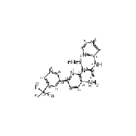 C=C(Nc1cnccn1)N(CCCCCC)c1nc(-c2cncc(C(C)(F)F)c2)ccc1N